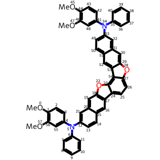 COc1ccc(N(c2ccccc2)c2ccc3cc4c(cc3c2)oc2c4ccc3oc4cc5cc(N(c6ccccc6)c6ccc(OC)c(OC)c6)ccc5cc4c32)cc1OC